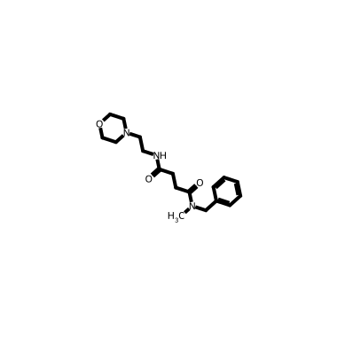 CN(Cc1ccccc1)C(=O)CCC(=O)NCCN1CCOCC1